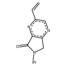 C=Cc1cnc2c(n1)C(=O)N(C(C)C)C2